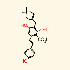 CC1=C(Cc2c(O)cc(/C=C/c3ccc(O)cc3)c(C(=O)O)c2O)CCC(C)(C)C1